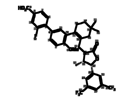 COc1ccc(-c2ccc(C(=O)O)cc2F)cc1C1=C(CN2C(=O)O[C@H](c3cc(C(F)(F)F)cc(C(F)(F)F)c3)[C@@H]2C)CC(C)(C)CC1